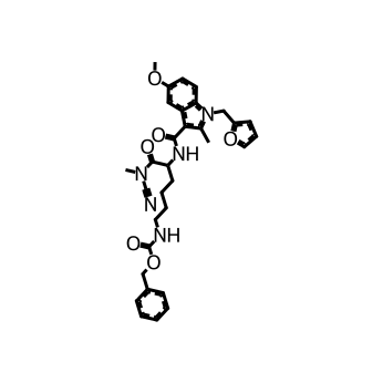 COc1ccc2c(c1)c(C(=O)NC(CCCCNC(=O)OCc1ccccc1)C(=O)N(C)C#N)c(C)n2Cc1ccco1